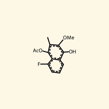 COc1c(C)c(OC(C)=O)c2c(F)cccc2c1O